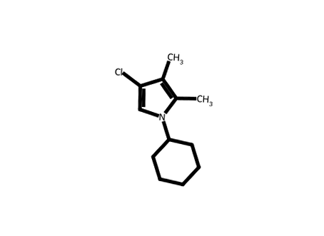 Cc1c(Cl)cn(C2CCCCC2)c1C